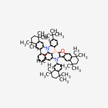 Cc1cc2c3c(c1)N(c1ccc4c(c1)C(C)(C)CCC4(C)C)c1c(oc4cc5c(cc14)C(C)(C)CCC5(C)C)B3c1ccc(C(C)(C)C)cc1N2c1cc2c(cc1-c1ccccc1)C(C)(C)CCC2(C)C